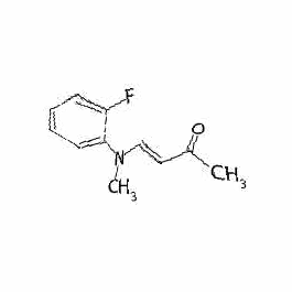 CC(=O)C=CN(C)c1ccccc1F